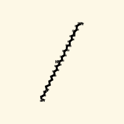 CC(C)CCC=NCCCCCCCCCCNCCCCCCCCCCN=CCCC(C)C